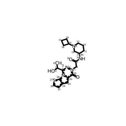 CC(O)c1nn(CC(=O)N[C@@H]2CCCN(C3CCC3)C2)c(=O)c2cc3ccsc3n12